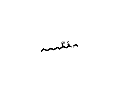 CCCCCCCC(S)CC(=O)OCC